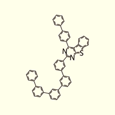 c1ccc(-c2ccc(-c3nc(-c4cccc(-c5cccc(-c6cccc(-c7cccc(-c8ccccc8)c7)c6)c5)c4)nc4sc5ccccc5c34)cc2)cc1